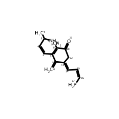 C=C1C(/C=C\C(C)N)=C(C)C(=O)C/C1=C\C=C/P